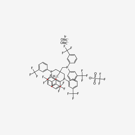 CC(CP(c1cccc(C(F)(F)F)c1)c1cccc(C(F)(F)F)c1)(CP(c1cccc(C(F)(F)F)c1)c1cccc(C(F)(F)F)c1)CP(c1cccc(C(F)(F)F)c1)c1cccc(C(F)(F)F)c1.O=S(=O)([O-])C(F)(F)F.[C-]#[O+].[C-]#[O+].[Ir]